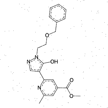 COC(=O)c1cc(C)nc(-c2cnn(CCOCc3ccccc3)c2O)c1